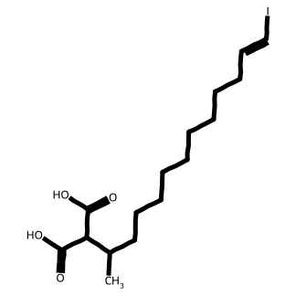 CC(CCCCCCCCCC=CI)C(C(=O)O)C(=O)O